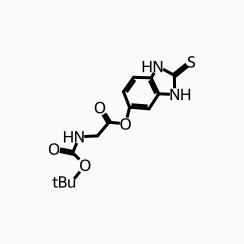 CC(C)(C)OC(=O)NCC(=O)Oc1ccc2[nH]c(=S)[nH]c2c1